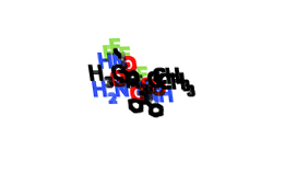 CC(C(=O)NC(F)C(F)F)c1cc(F)c(NC(=O)[C@@H](NC(=O)OC(C)(C)C)C(C2CCCCC2)C2CCCCC2)cc1C(N)=O